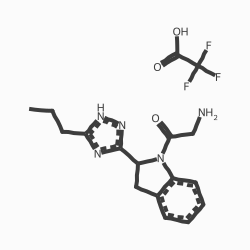 CCCc1nc(C2Cc3ccccc3N2C(=O)CN)n[nH]1.O=C(O)C(F)(F)F